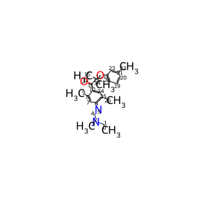 CCN(C)C=Nc1cc(C)c(C(=O)C(C)(C)Oc2cccc(C)c2)cc1C